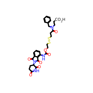 O=C(O)CCN(Cc1ccccc1)C(=O)CCSSCCOC(=O)Nc1cccc2c1C(=O)N(C1CCC(=O)NC1=O)C2=O